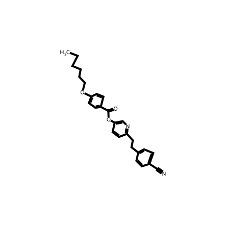 CCCCCCOc1ccc(C(=O)Oc2ccc(CCc3ccc(C#N)cc3)nc2)cc1